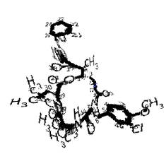 COc1ccc(C[C@H]2NC(=O)/C=C/C[C@@H]([C@H](C)[C@H]3O[C@@H]3c3ccccc3)OC(=O)[C@H](CC(C)(C)C)NC(=O)C(C)(C)C(C)NC2=O)cc1Cl